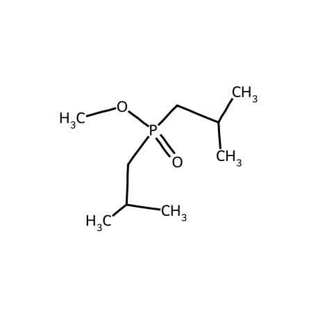 COP(=O)(CC(C)C)CC(C)C